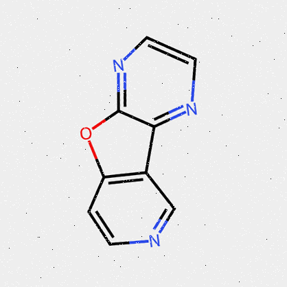 c1cc2oc3nccnc3c2cn1